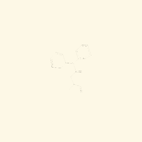 C=CC(C)CC(=C)N(c1ccccc1)C1C=CC=CC1